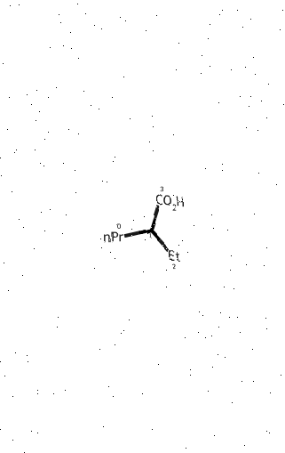 [CH2]CCC(CC)C(=O)O